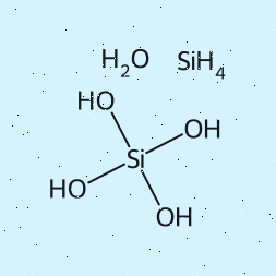 O.O[Si](O)(O)O.[SiH4]